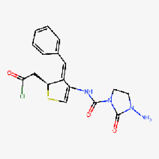 NN1CCN(C(=O)NC2=CS[C@@H](CC(=O)Cl)C2=Cc2ccccc2)C1=O